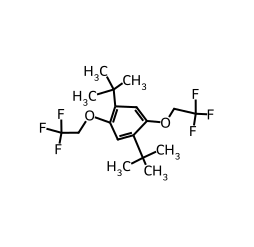 CC(C)(C)c1cc(OCC(F)(F)F)c(C(C)(C)C)cc1OCC(F)(F)F